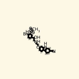 CS(=O)(=O)Nc1cc([C@@H](O)CNCCOc2ccc3c(c2)[nH]c2cc(C#N)ccc23)ccc1Br